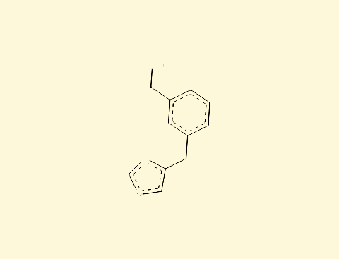 CC(C)(C)Cc1cccc(Cc2cnco2)c1